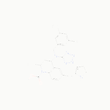 CC(C)OC(=O)N1c2ccc(C(F)(F)F)cc2C(N(Cc2cc(C(F)(F)F)cc(C(F)(F)F)c2)c2nnn([C@@H]3CCNC3)n2)CC1C